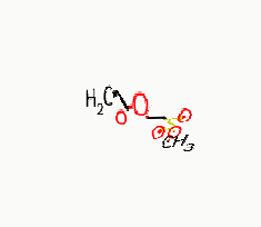 C=CC(=O)OCCS(=O)(=O)OC